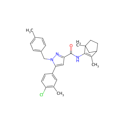 CC1=C(NC(=O)c2cc(-c3ccc(Cl)c(C)c3)n(Cc3ccc(C)cc3)n2)C2(C)CCC1C2